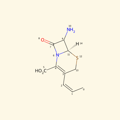 C/C=C\C1=C(C(=O)O)N2C(=O)C(N)[C@H]2SC1